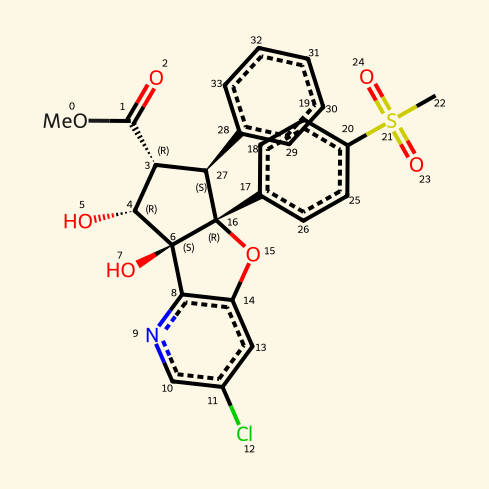 COC(=O)[C@H]1[C@@H](O)[C@@]2(O)c3ncc(Cl)cc3O[C@@]2(c2ccc(S(C)(=O)=O)cc2)[C@@H]1c1ccccc1